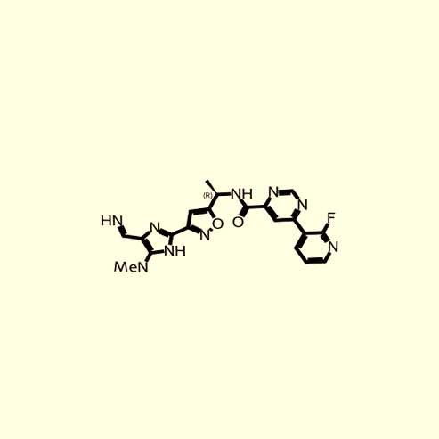 CNc1[nH]c(-c2cc([C@@H](C)NC(=O)c3cc(-c4cccnc4F)ncn3)on2)nc1C=N